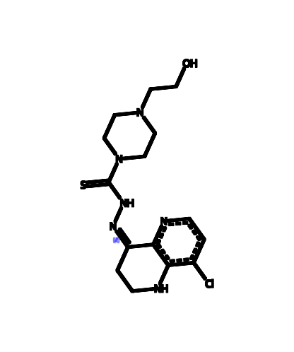 OCCN1CCN(C(=S)N/N=C2/CCNc3c(Cl)ccnc32)CC1